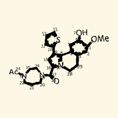 COc1cc2c(cc1O)-c1c(-c3cccs3)cc(C(=O)N3CCCN(C(C)=O)CC3)n1CC2